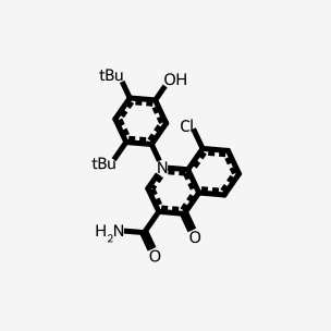 CC(C)(C)c1cc(C(C)(C)C)c(-n2cc(C(N)=O)c(=O)c3cccc(Cl)c32)cc1O